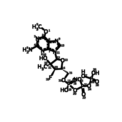 COc1nc(N)nc2c1ncn2C1O[C@H](COP(=O)(O)OP(=O)(O)OP(=O)(O)O)[C@@H](F)[C@@]1(C)O